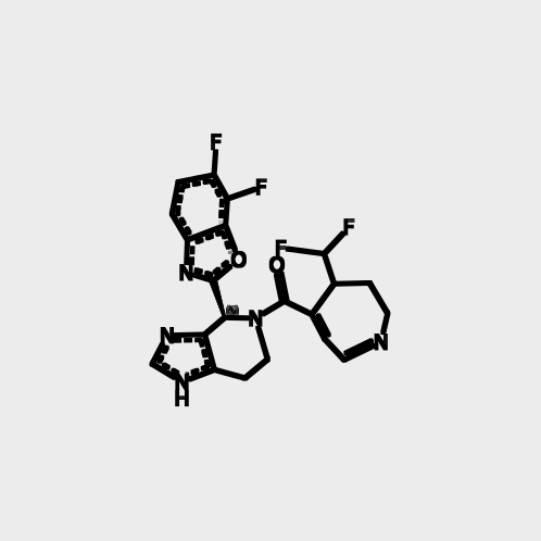 O=C(C1=CC=NCCC1C(F)F)N1CCc2[nH]cnc2[C@H]1c1nc2ccc(F)c(F)c2o1